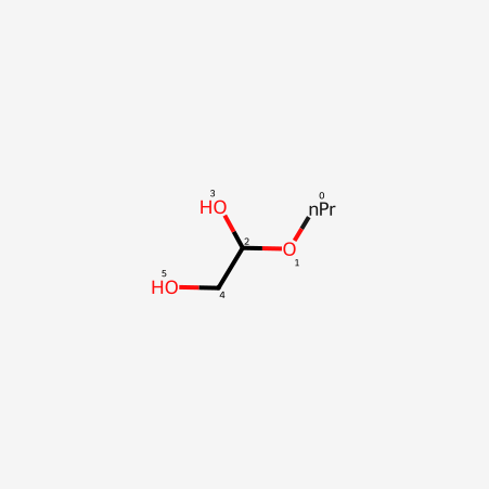 [CH2]CCOC(O)CO